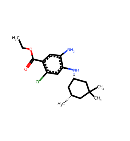 CCOC(=O)c1cc(N)c(N[C@H]2C[C@@H](C)CC(C)(C)C2)cc1Cl